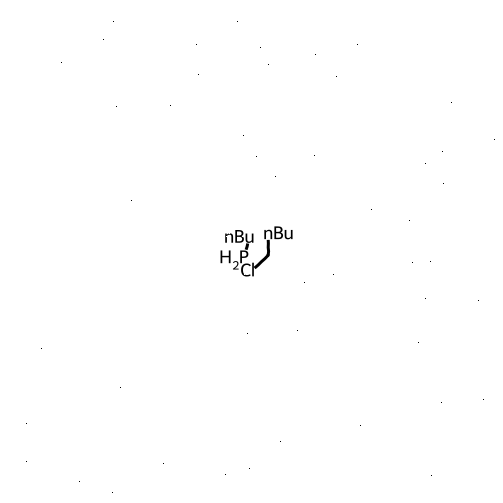 CCCCCCl.CCCCP